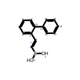 OB(O)/C=C/c1ccccc1-c1ccccc1